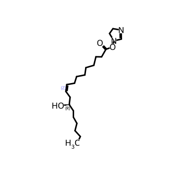 CCCCCC[C@@H](O)C/C=C\CCCCCCCC(=O)ON1C=NCC1